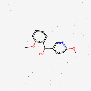 COc1ccc(C(O)c2ccccc2OC)cn1